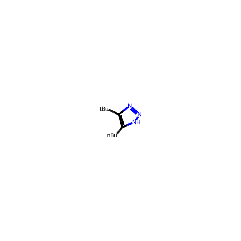 CCCCc1[nH]nnc1C(C)(C)C